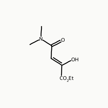 CCOC(=O)/C(O)=C/C(=O)N(C)C